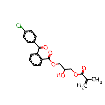 C=C(C)C(=O)OCC(O)COC(=O)c1ccccc1C(=O)c1ccc(Cl)cc1